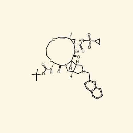 CC(C)(C)OC(=O)N[C@@H]1CCCCC/C=C\[C@H]2C[C@@]2(C(=O)NS(=O)(=O)C2CC2)NC(=O)[C@@H]2[C@H]3CN(Cc4ccc5ccccc5n4)C[C@H]3CN2C1=O